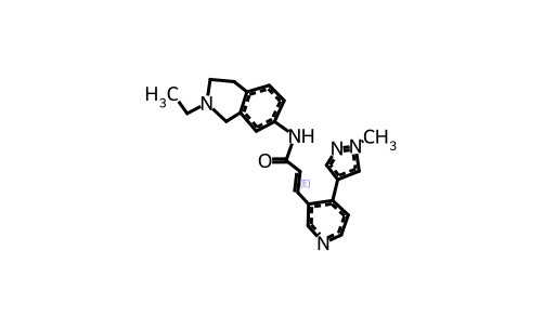 CCN1CCc2ccc(NC(=O)/C=C/c3cnccc3-c3cnn(C)c3)cc2C1